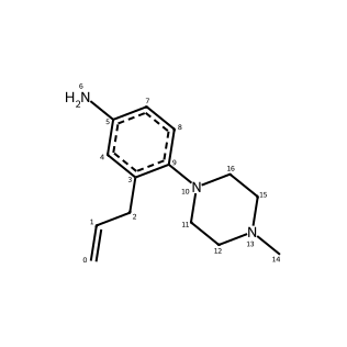 C=CCc1cc(N)ccc1N1CCN(C)CC1